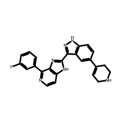 Fc1cccc(-c2nccc3[nH]c(-c4n[nH]c5ccc(C6=CCNCC6)cc45)nc23)c1